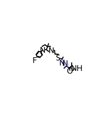 CC1=C(/C(C)=N/N=C(\C)SCCCN2CC3N(c4ccc(F)cc4)CCC3(C)C2)OCN1